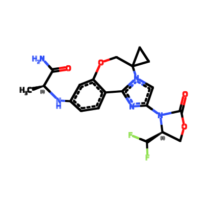 C[C@H](Nc1ccc2c(c1)OCC1(CC1)n1cc(N3C(=O)OC[C@H]3C(F)F)nc1-2)C(N)=O